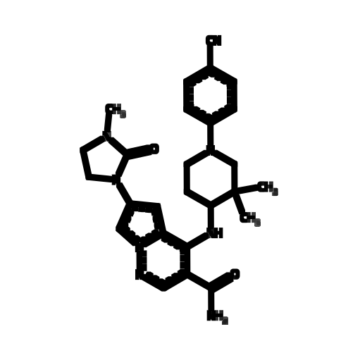 CN1CCN(c2cc3c(NC4CCN(c5ccc(C#N)cc5)CC4(C)C)c(C(N)=O)cnn3c2)C1=O